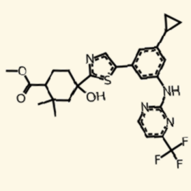 COC(=O)C1CCC(O)(c2ncc(-c3cc(Nc4nccc(C(F)(F)F)n4)cc(C4CC4)c3)s2)CC1(C)C